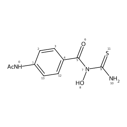 CC(=O)Nc1ccc(C(=O)N(O)C(N)=S)cc1